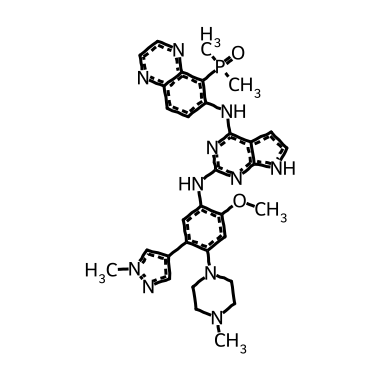 COc1cc(N2CCN(C)CC2)c(-c2cnn(C)c2)cc1Nc1nc(Nc2ccc3nccnc3c2P(C)(C)=O)c2cc[nH]c2n1